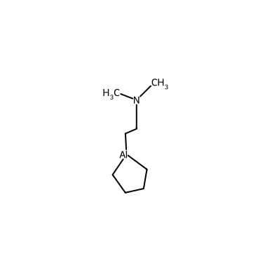 CN(C)C[CH2][Al]1[CH2]CC[CH2]1